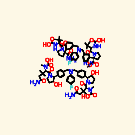 CN(C(=O)O)[C@H](C(=O)N1CC[C@H](O)[C@@H]1c1ccc(CN(Cc2ccc([C@H]3[C@@H](O)CCN3C(=O)[C@@H](N(C)C(=O)O)C(C)(C)CC(N)=O)cc2)c2ccc(F)cc2)cc1)C(C)(C)CC(N)=O.COc1ccc(CN(Cc2ccc(OC)c([C@]3(C(N)=O)CCCN3C(=O)[C@@H](NC(=O)O)C(C)(C)C)c2)c2ccc(F)cc2)cc1[C@]1(C(N)=O)CCCN1C(=O)[C@@H](NC(=O)O)C(C)(C)C